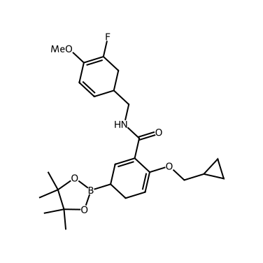 COC1=C(F)CC(CNC(=O)C2=CC(B3OC(C)(C)C(C)(C)O3)CC=C2OCC2CC2)C=C1